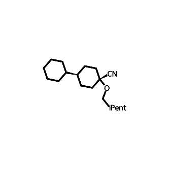 CCCC(C)CO[C@]1(C#N)CC[C@@H](C2CCCCC2)CC1